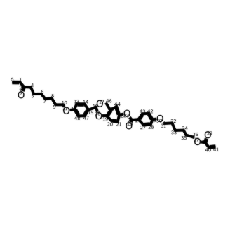 C=CC(=O)CCCCCCCOc1ccc(C(=O)Oc2ccc(OC(=O)c3ccc(OCCCCCCOC(=O)C=C)cc3)cc2C)cc1